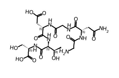 C[C@@H](O)[C@H](NC(=O)[C@H](CC(=O)O)NC(=O)CNC(=O)[C@H](CC(N)=O)NC(=O)CN)C(=O)N[C@@H](CO)C(=O)O